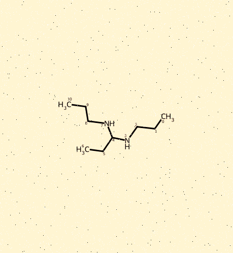 CC[CH]NC(CC)NCCC